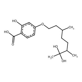 CC(CCOc1ccc(C(=O)O)c(O)c1)CCC(C)C(C)(O)O